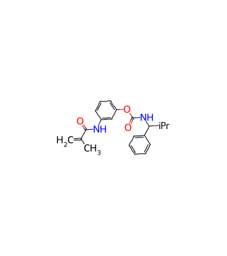 C=C(C)C(=O)Nc1cccc(OC(=O)NC(c2ccccc2)C(C)C)c1